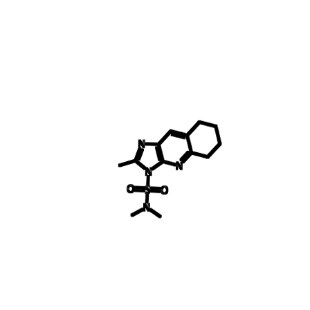 Cc1nc2cc3c(nc2n1S(=O)(=O)N(C)C)CCCC3